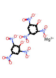 O=[N+]([O-])c1cc([N+](=O)[O-])c([O-])c([N+](=O)[O-])c1.O=[N+]([O-])c1cc([N+](=O)[O-])c([O-])c([N+](=O)[O-])c1.[Mg+2]